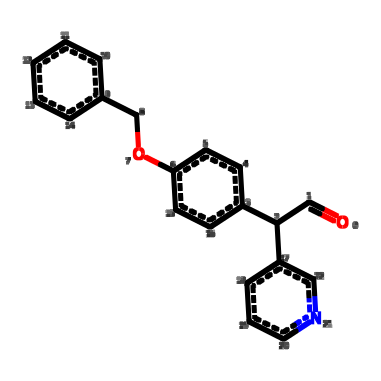 O=CC(c1ccc(OCc2ccccc2)cc1)c1cccnc1